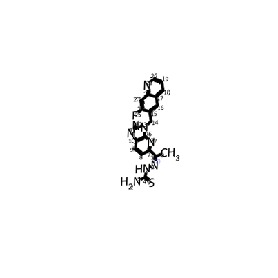 C/C(=N/NC(N)=S)c1ccc2nnn(Cc3cc4cccnc4cc3F)c2n1